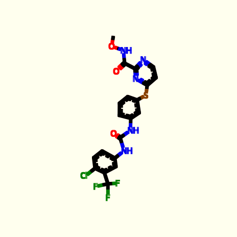 CONC(=O)c1nccc(Sc2cccc(NC(=O)Nc3ccc(Cl)c(C(F)(F)F)c3)c2)n1